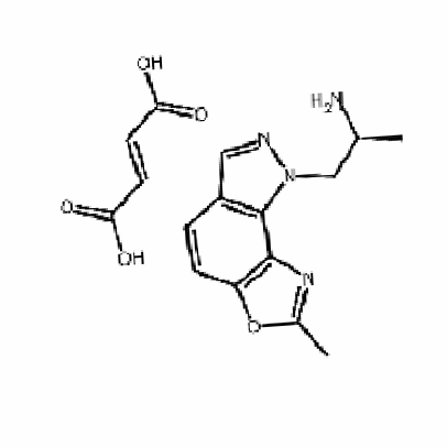 Cc1nc2c(ccc3cnn(C[C@H](C)N)c32)o1.O=C(O)C=CC(=O)O